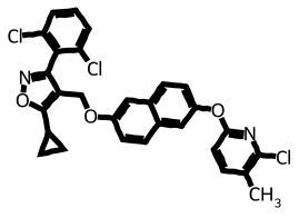 Cc1ccc(Oc2ccc3cc(OCc4c(-c5c(Cl)cccc5Cl)noc4C4CC4)ccc3c2)nc1Cl